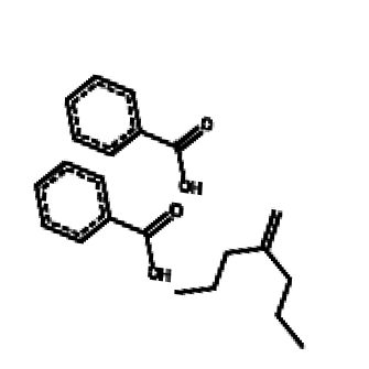 C=C(CCC)CCC.O=C(O)c1ccccc1.O=C(O)c1ccccc1